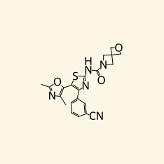 Cc1nc(C)c(-c2sc(NC(=O)N3CC4(COC4)C3)nc2-c2cccc(C#N)c2)o1